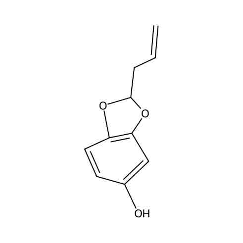 C=CCC1Oc2ccc(O)cc2O1